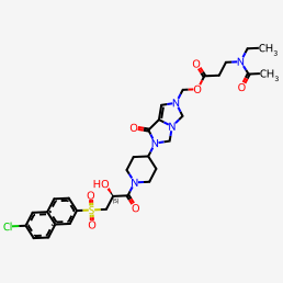 CCN(CCC(=O)OCN1C=C2C(=O)N(C3CCN(C(=O)[C@H](O)CS(=O)(=O)c4ccc5cc(Cl)ccc5c4)CC3)CN2C1)C(C)=O